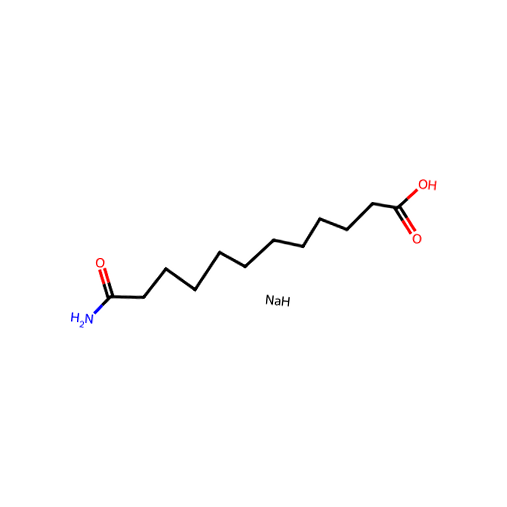 NC(=O)CCCCCCCCCCC(=O)O.[NaH]